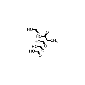 CCC(=O)O.O=CO.O=CO.O=CO.O=CO